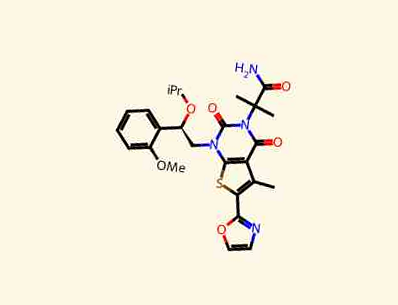 COc1ccccc1[C@H](Cn1c(=O)n(C(C)(C)C(N)=O)c(=O)c2c(C)c(-c3ncco3)sc21)OC(C)C